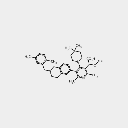 Cc1ccc(C)c(CN2CCc3cc(-c4c(C)nc(C)c([C@H](OC(C)(C)C)C(=O)O)c4N4CCC(C)(C)CC4)ccc3C2)c1